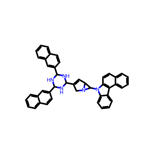 C1=C(C2NC(c3ccc4ccccc4c3)NC(c3ccc4ccccc4c3)N2)CN2C1C2n1c2ccccc2c2c3ccccc3ccc21